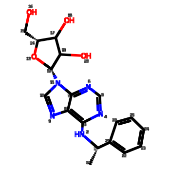 C[C@H](Nc1ncnc2c1ncn2[C@@H]1O[C@H](CO)C(O)C1O)c1ccccc1